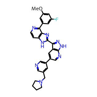 COc1cc(F)cc(-c2nccc3[nH]c(-c4n[nH]c5ncc(-c6cncc(CN7CCCC7)c6)cc45)nc23)c1